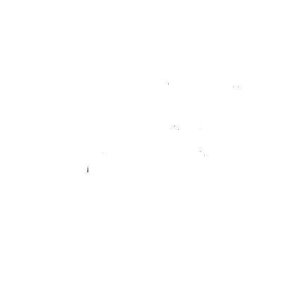 COc1ccc(CN(c2ncns2)S(=O)(=O)c2ccc3c(c2)OCCC3N2CC[C@@H](C(F)(F)F)C[C@@H]2c2ccc(F)cc2)c(OC)c1